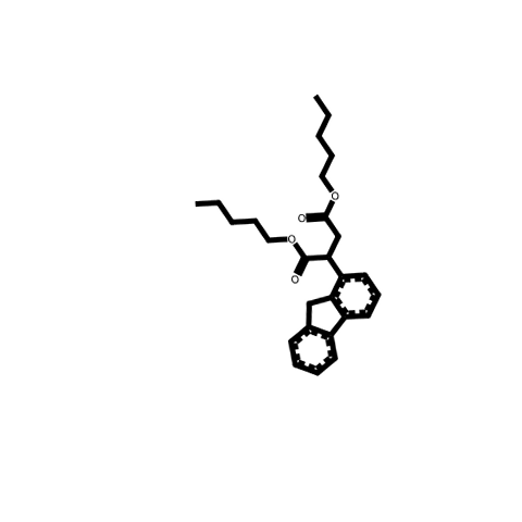 CCCCCOC(=O)CC(C(=O)OCCCCC)c1cccc2c1Cc1ccccc1-2